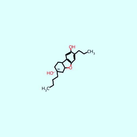 CCCC[C@@]1(O)CCC2c3cc(O)c(CCC)cc3OC2C1